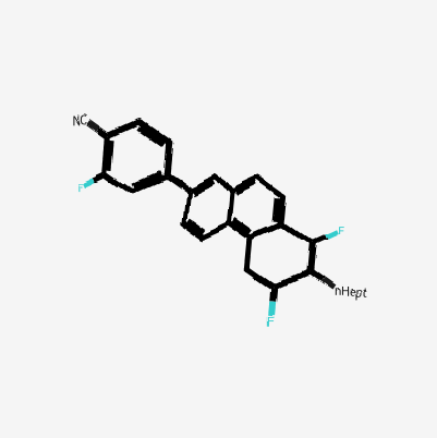 CCCCCCCC1C(F)Cc2c(ccc3cc(-c4ccc(C#N)c(F)c4)ccc23)C1F